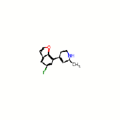 CC1C=C(c2cc(F)cc3ccoc23)CCN1